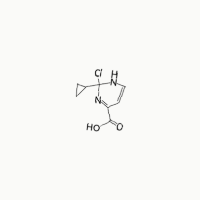 O=C(O)C1=NC(Cl)(C2CC2)NC=C1